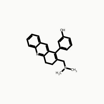 CN(C)CC1=C(c2cccc(O)c2)c2cc3ccccc3nc2CC1